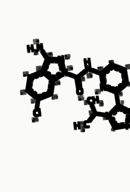 CC(C)n1cnnc1-c1cccc(NC(=O)n2nc(N)c3ccc(Cl)cc32)n1